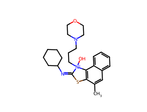 Cc1cc2ccccc2c2c1SC(=NC1CCCCC1)[N+]2(O)CCCN1CCOCC1